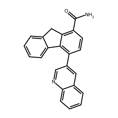 NC(=O)c1ccc(-c2cnc3ccccc3c2)c2c1[CH]c1ccccc1-2